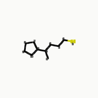 CC(CCCS)C1CCCC1